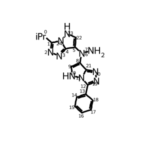 CC(C)c1nnc2c(N(N)c3c[nH]n4c(-c5ccccc5)nnc34)c[nH]n12